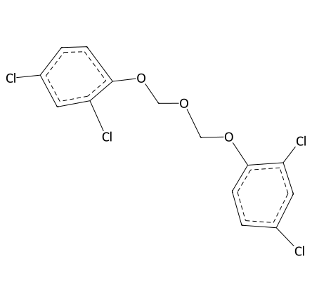 Clc1ccc(OCOCOc2ccc(Cl)cc2Cl)c(Cl)c1